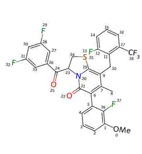 COc1cccc(-c2c(C)c(Cc3c(F)cccc3C(F)(F)F)c3n(c2=O)C(C(=O)c2cc(F)cc(F)c2)CS3)c1F